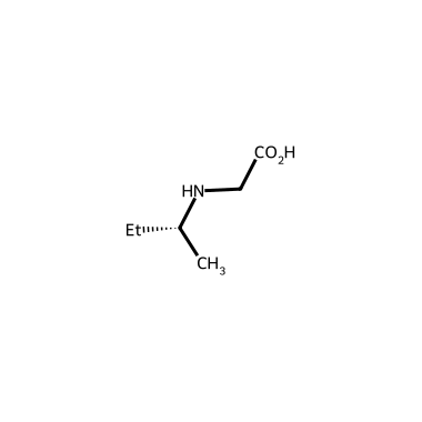 CC[C@@H](C)NCC(=O)O